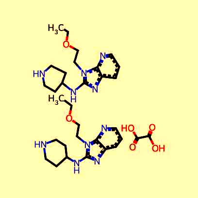 CCOCCn1c(NC2CCNCC2)nc2cccnc21.CCOCCn1c(NC2CCNCC2)nc2cccnc21.O=C(O)C(=O)O